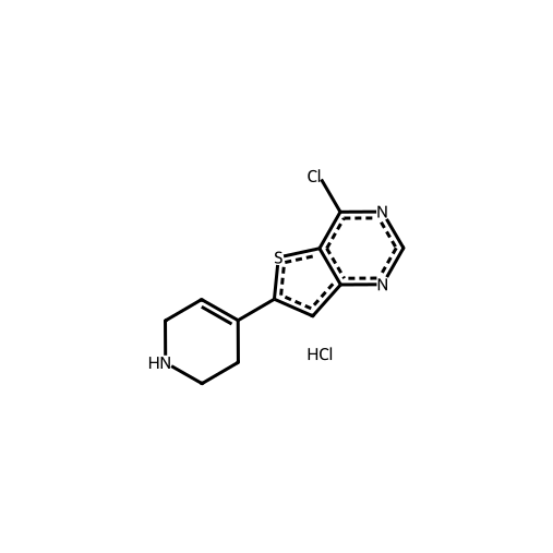 Cl.Clc1ncnc2cc(C3=CCNCC3)sc12